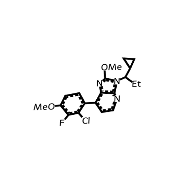 CCC(C1CC1)n1c(OC)nc2c(-c3ccc(OC)c(F)c3Cl)ccnc21